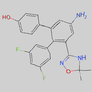 CC1(C)NC(c2cc(N)cc(-c3ccc(O)cc3)c2-c2cc(F)cc(F)c2)=NO1